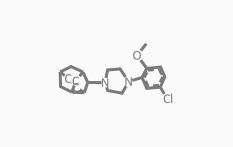 COc1ccc(Cl)cc1N1CCN(C2C3CC4CCC2C(C4)C3)CC1